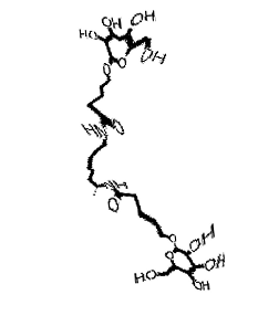 C[C@H](CCCCNC(=O)CCCCOC1OC(CO)C(O)C(O)C1O)NC(=O)CCCCO[C@H]1OC(CO)C(O)C(O)C1O